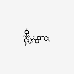 Cc1ccc(S(=O)(=O)N2CCNC(=O)[C@H]2CC(=O)N[C@@H]2CCCc3cc(CN4CCC(F)CC4)ccc32)cc1